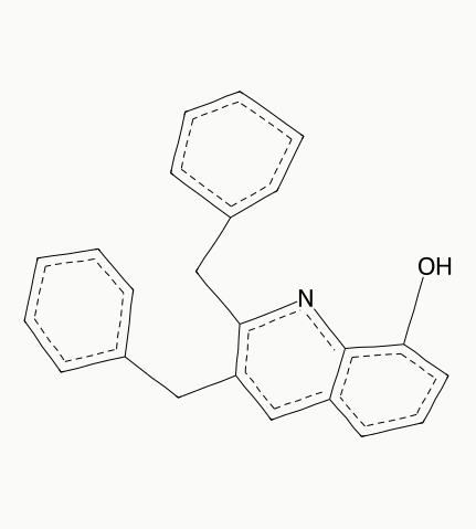 Oc1cccc2cc(Cc3ccccc3)c(Cc3ccccc3)nc12